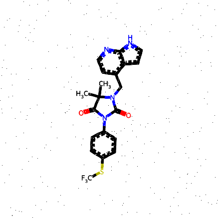 CC1(C)C(=O)N(c2ccc(SC(F)(F)F)cc2)C(=O)N1Cc1ccnc2[nH]ccc12